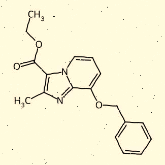 CCOC(=O)c1c(C)nc2c(OCc3ccccc3)cccn12